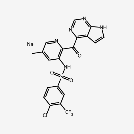 Cc1cnc(C(=O)c2ncnc3[nH]ccc23)c(NS(=O)(=O)c2ccc(Cl)c(C(F)(F)F)c2)c1.[Na]